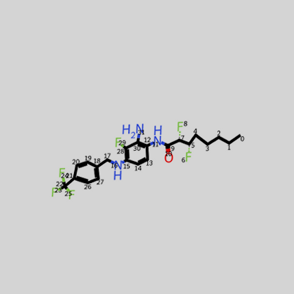 CCCCC[C@H](F)[C@@H](F)C(=O)Nc1ccc(NCc2ccc(C(F)(F)F)cc2)c(F)c1N